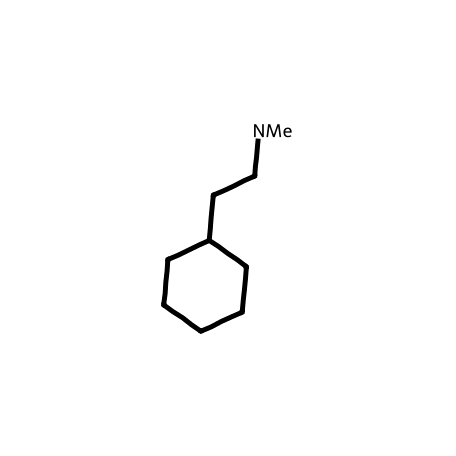 [CH2]NCCC1CCCCC1